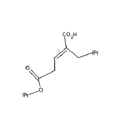 CC(C)C/C(=C\CC(=O)OC(C)C)C(=O)O